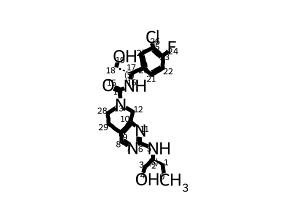 CC[C@@H](CO)Nc1ncc2c(n1)CN(C(=O)N[C@H](CO)c1ccc(F)c(Cl)c1)CC2